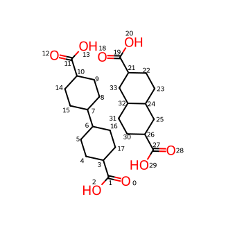 O=C(O)C1CCC(C2CCC(C(=O)O)CC2)CC1.O=C(O)C1CCC2CC(C(=O)O)CCC2C1